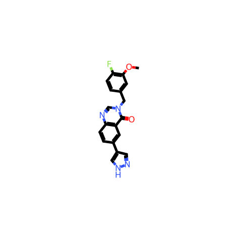 COc1cc(Cn2cnc3ccc(-c4cn[nH]c4)cc3c2=O)ccc1F